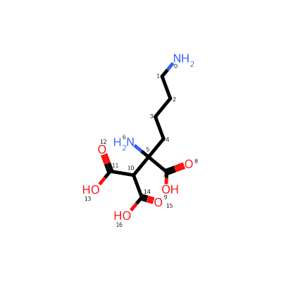 NCCCCC(N)(C(=O)O)C(C(=O)O)C(=O)O